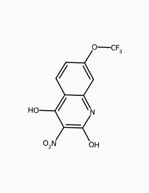 O=[N+]([O-])c1c(O)nc2cc(OC(F)(F)F)ccc2c1O